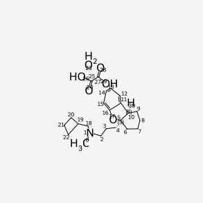 CN(CCC[C@@]12CCCC[C@@H]1c1ccccc1O2)CC1CCC1.O.O=C(O)C(=O)O